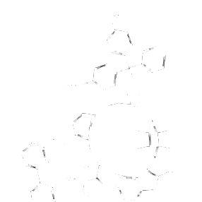 COc1ccc(C(OC[C@@H]2COc3ccc(OCc4ccnc(-c5ccccc5OC)n4)c(c3)C[C@H](C(=O)OC(C)(C)C)Oc3ncnc4sc(Br)c(c34)-c3c(C)c(Cl)c(c(Cl)c3C)O2)(c2ccccc2)c2ccc(OC)cc2)cc1